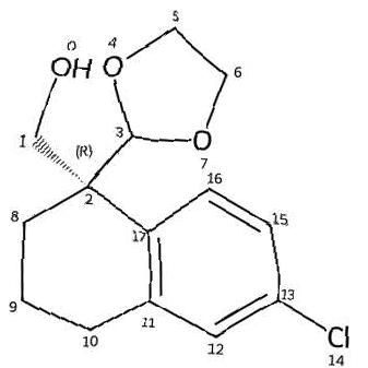 OC[C@@]1(C2OCCO2)CCCc2cc(Cl)ccc21